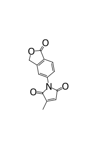 CC1=CC(=O)N(c2ccc3c(c2)COC3=O)C1=O